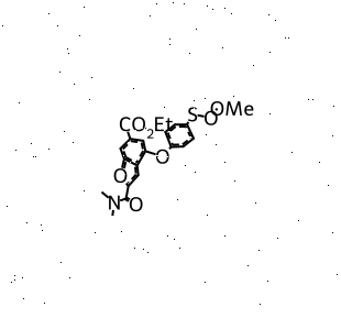 CCOC(=O)c1cc(Oc2ccc(SOOC)cc2)c2cc(C(=O)N(C)C)oc2c1